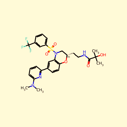 CN(C)c1cccc(-c2ccc3c(c2)N(S(=O)(=O)c2cccc(C(F)(F)F)c2)C[C@H](CCNC(=O)C(C)(C)O)O3)n1